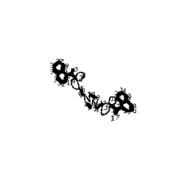 CC(C(=O)OCCN1CCN(CCOC(=O)C(C)c2cccc3ccccc23)CC1)c1cccc2ccccc12